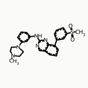 CN1CCN(c2cccc(Nc3ncc4cccc(-c5cccc(S(C)(=O)=O)c5)c4n3)c2)CC1